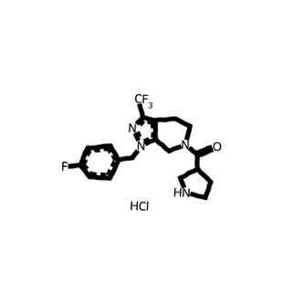 Cl.O=C(C1CCNC1)N1CCc2c(C(F)(F)F)nn(Cc3ccc(F)cc3)c2C1